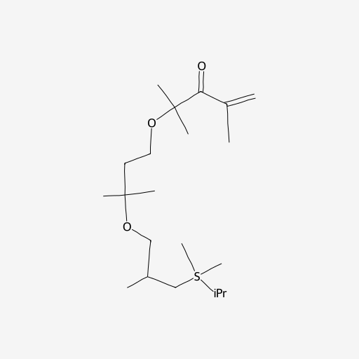 C=C(C)C(=O)C(C)(C)OCCC(C)(C)OCC(C)CS(C)(C)C(C)C